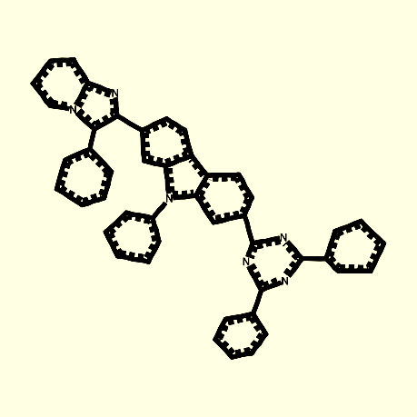 c1ccc(-c2nc(-c3ccccc3)nc(-c3ccc4c5ccc(-c6nc7ccccn7c6-c6ccccc6)cc5n(-c5ccccc5)c4c3)n2)cc1